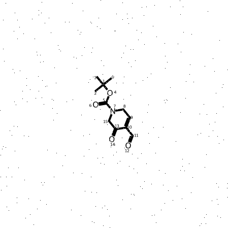 CC(C)(C)OC(=O)N1CC=C(C=O)C(=O)C1